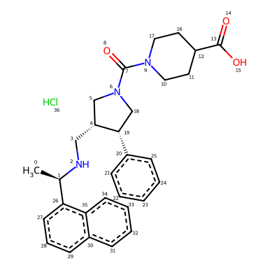 C[C@@H](NC[C@@H]1CN(C(=O)N2CCC(C(=O)O)CC2)C[C@@H]1c1ccccc1)c1cccc2ccccc12.Cl